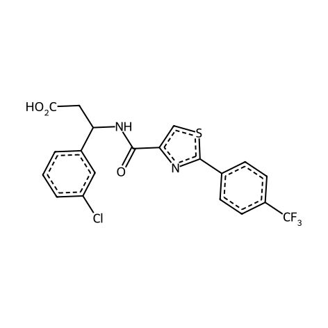 O=C(O)CC(NC(=O)c1csc(-c2ccc(C(F)(F)F)cc2)n1)c1cccc(Cl)c1